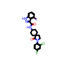 O=C(NC1CCC2(CC1)CCN(c1ccc(F)cc1Cl)C2=O)c1n[nH]c2cccc(I)c12